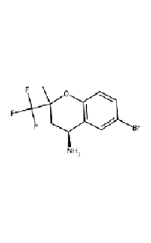 CC1(C(F)(F)F)C[C@H](N)c2cc(Br)ccc2O1